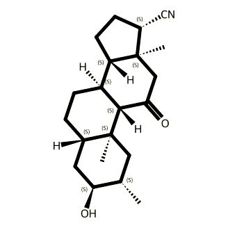 C[C@H]1C[C@@]2(C)[C@@H](CC[C@H]3[C@@H]4CC[C@H](C#N)[C@@]4(C)CC(=O)[C@@H]32)C[C@@H]1O